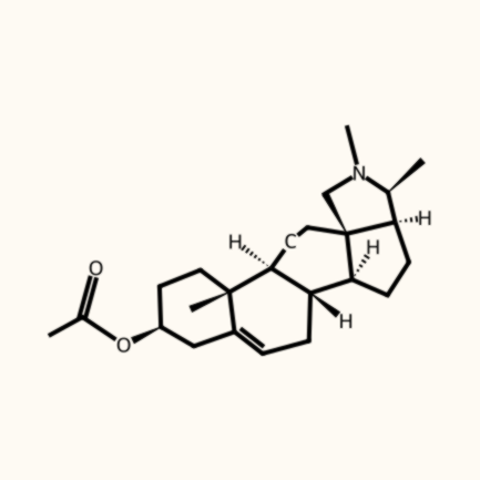 CC(=O)O[C@H]1CC[C@@]2(C)C(=CC[C@H]3[C@@H]4CC[C@@H]5[C@H](C)N(C)C[C@@]54CC[C@@H]32)C1